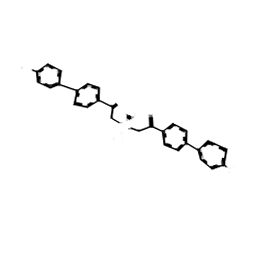 Cc1ccc(-c2ccc(C(=O)CS(=O)(=O)CC(=O)c3ccc(-c4ccc(C)cc4)cc3)cc2)cc1